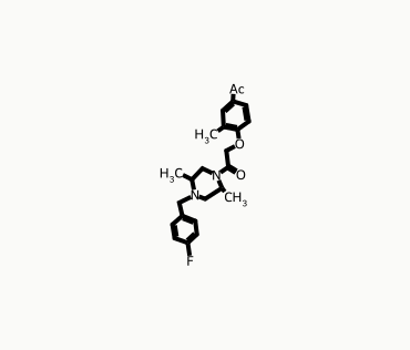 CC(=O)c1ccc(OCC(=O)N2CC(C)N(Cc3ccc(F)cc3)CC2C)c(C)c1